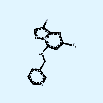 FC(F)(F)c1cc(NCc2cccnc2)n2ncc(Br)c2n1